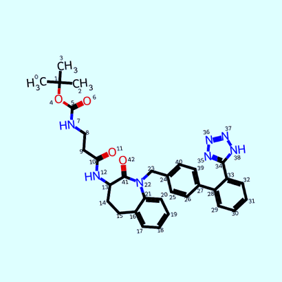 CC(C)(C)OC(=O)NCCC(=O)NC1CCc2ccccc2N(Cc2ccc(-c3ccccc3-c3nnn[nH]3)cc2)C1=O